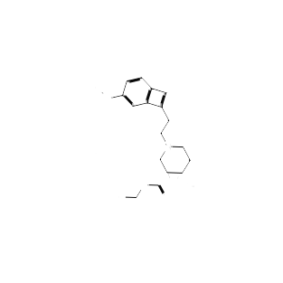 CCOC(=O)[C@@H]1CN(CCC2=Cc3ccc(OC)cc32)CC[C@@H]1O.Cl